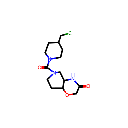 O=C1COC2CCN(C(=O)N3CCC(CCl)CC3)CC2N1